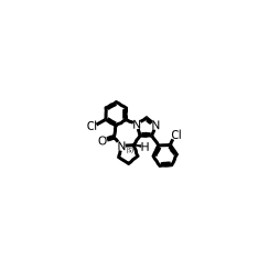 O=C1c2c(Cl)cccc2-n2cnc(-c3ccccc3Cl)c2[C@@H]2CCCN12